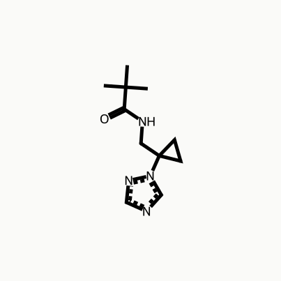 CC(C)(C)C(=O)NCC1(n2cncn2)CC1